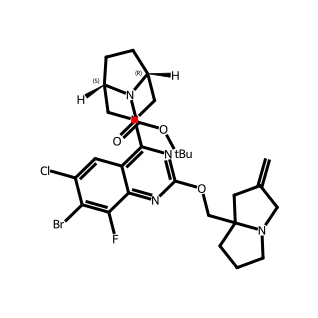 C=C1CN2CCCC2(COc2nc(N3C[C@H]4CC[C@@H](C3)N4C(=O)OC(C)(C)C)c3cc(Cl)c(Br)c(F)c3n2)C1